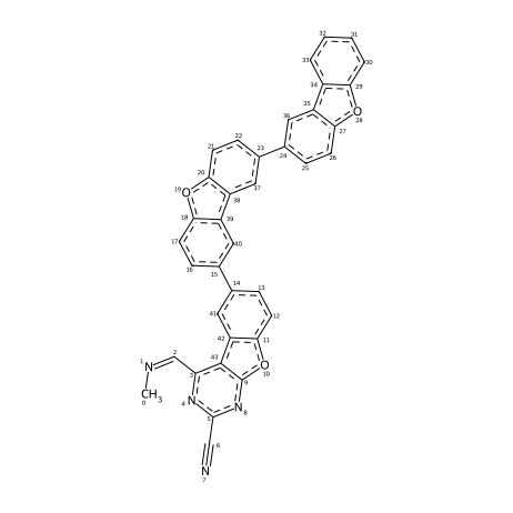 C/N=C\c1nc(C#N)nc2oc3ccc(-c4ccc5oc6ccc(-c7ccc8oc9ccccc9c8c7)cc6c5c4)cc3c12